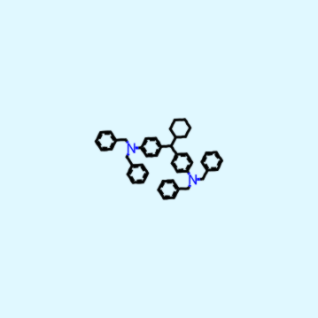 c1ccc(CN(Cc2ccccc2)c2ccc(C(c3ccc(N(Cc4ccccc4)Cc4ccccc4)cc3)C3CCCCC3)cc2)cc1